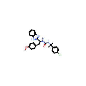 COc1ccc(CC(NC(=O)NC(C)(C)c2ccc(Cl)cc2)c2nc3ccccc3[nH]2)cc1